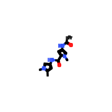 CCCC(=O)Nc1cc(C(=O)Nc2cc(C)n(C)c2)n(C)c1